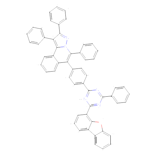 c1ccc(-c2nc(-c3ccc(-c4c(-c5ccccc5)n5nc(-c6ccccc6)c(-c6ccccc6)c5c5ccccc45)cc3)nc(-c3cccc4c3oc3ccccc34)n2)cc1